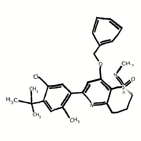 CN=[S@]1(=O)CCCc2nc(-c3cc(Cl)c(C(C)(C)C)cc3C)cc(OCc3ccccc3)c21